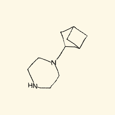 C1CN(C2CC3CC2C3)CCN1